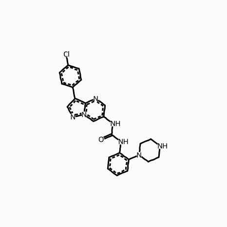 O=C(Nc1cnc2c(-c3ccc(Cl)cc3)cnn2c1)Nc1ccccc1N1CCNCC1